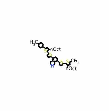 CCCCCCCCc1cc(C)sc1-c1ccc(-c2ccc(-c3ccc(-c4sc(-c5ccc(C)cc5)cc4CCCCCCCC)s3)c3ccncc23)s1